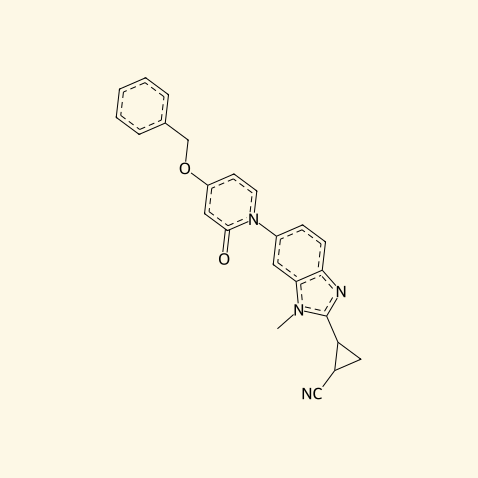 Cn1c(C2CC2C#N)nc2ccc(-n3ccc(OCc4ccccc4)cc3=O)cc21